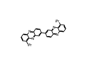 CC(C)c1cccc2nc3ccc(-c4ccc5nc6cccc(C(C)C)c6nc5c4)cc3nc12